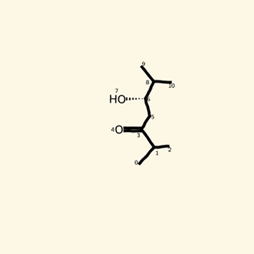 CC(C)C(=O)C[C@H](O)C(C)C